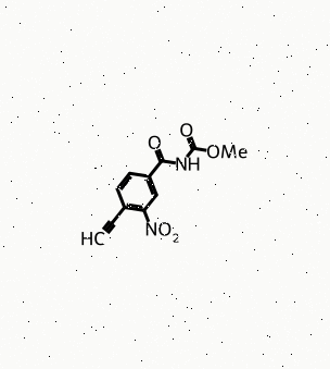 C#Cc1ccc(C(=O)NC(=O)OC)cc1[N+](=O)[O-]